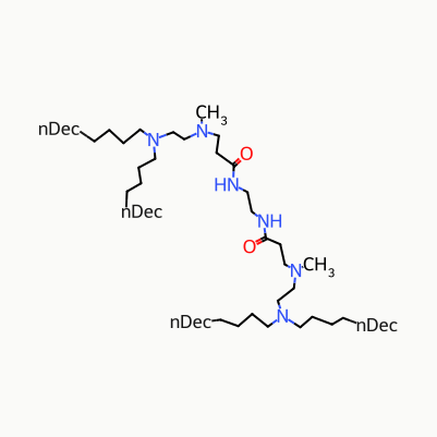 CCCCCCCCCCCCCCN(CCCCCCCCCCCCCC)CCN(C)CCC(=O)NCCNC(=O)CCN(C)CCN(CCCCCCCCCCCCCC)CCCCCCCCCCCCCC